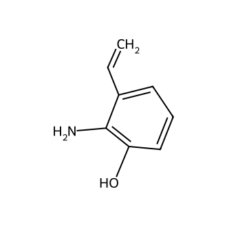 C=Cc1cccc(O)c1N